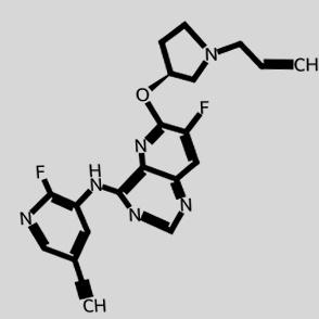 C#Cc1cnc(F)c(Nc2ncnc3cc(F)c(O[C@H]4CCN(CC=C)C4)nc23)c1